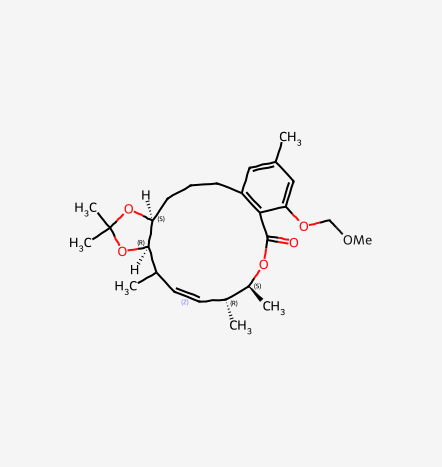 COCOc1cc(C)cc2c1C(=O)O[C@@H](C)[C@H](C)/C=C\C(C)[C@H]1OC(C)(C)O[C@H]1CCC2